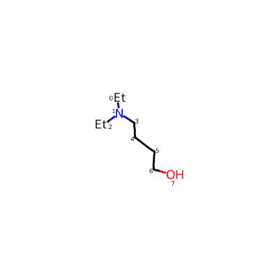 CCN(CC)CCCCO